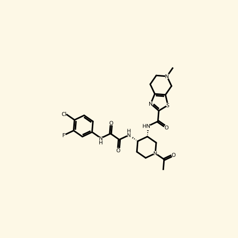 CC(=O)N1CC[C@H](NC(=O)C(=O)Nc2ccc(Cl)c(F)c2)[C@H](NC(=O)c2nc3c(s2)CN(C)CC3)C1